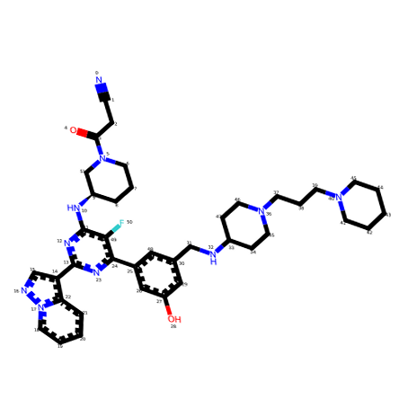 N#CCC(=O)N1CCC[C@@H](Nc2nc(-c3cnn4ccccc34)nc(-c3cc(O)cc(CNC4CCN(CCCN5CCCCC5)CC4)c3)c2F)C1